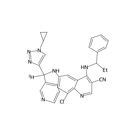 [2H]C(Nc1cc(Cl)c2ncc(C#N)c(NC(CC)c3ccccc3)c2c1)(c1cccnc1)c1cn(C2CC2)nn1